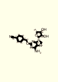 C[C@H]1O[C@@H](n2cnc3c(N)nc(OCc4ccc(C#N)cc4)nc32)[C@H](O)[C@@H]1O